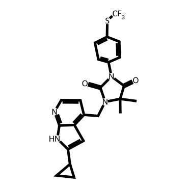 CC1(C)C(=O)N(c2ccc(SC(F)(F)F)cc2)C(=O)N1Cc1ccnc2[nH]c(C3CC3)cc12